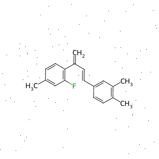 C=C(/C=C/c1ccc(C)c(C)c1)c1ccc(C)cc1F